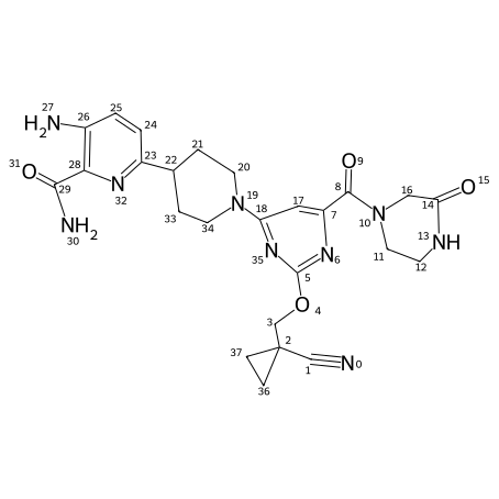 N#CC1(COc2nc(C(=O)N3CCNC(=O)C3)cc(N3CCC(c4ccc(N)c(C(N)=O)n4)CC3)n2)CC1